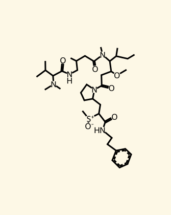 CCC(C)C(C(CC(=O)N1CCCC1CC(C(=O)NCCc1ccccc1)[S+](C)[O-])OC)N(C)C(=O)CC(C)CNC(=O)C(C(C)C)N(C)C